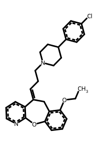 CCOc1cccc2c1CC(=CCCN1CCC(c3ccc(Cl)cc3)CC1)c1cccnc1O2